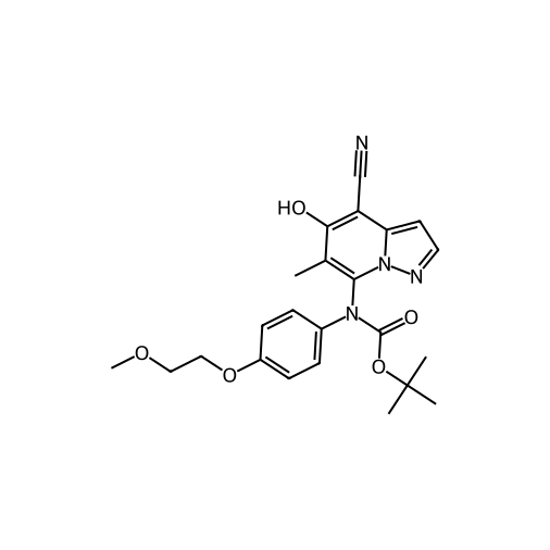 COCCOc1ccc(N(C(=O)OC(C)(C)C)c2c(C)c(O)c(C#N)c3ccnn23)cc1